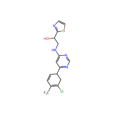 OC(CNc1cc(C2C=CC(C(F)(F)F)=C(Cl)C2)ncn1)c1nccs1